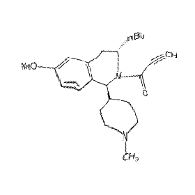 C#CC(=O)N1[C@@H](CCCC)Cc2cc(OC)ccc2[C@@H]1C1CCN(C)CC1